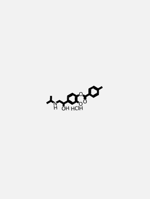 Cc1ccc(C(=O)Oc2ccc(C(O)CNC(C)C)cc2O)cc1.Cl